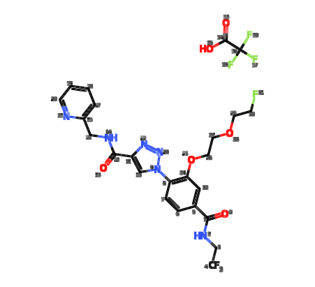 O=C(NCC(F)(F)F)c1ccc(-n2cc(C(=O)NCc3ccccn3)nn2)c(OCCOCCF)c1.O=C(O)C(F)(F)F